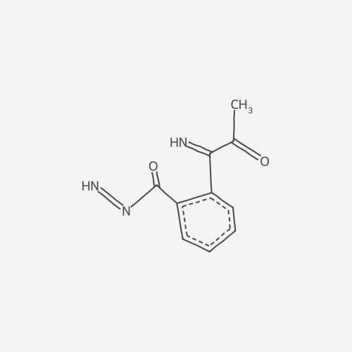 CC(=O)C(=N)c1ccccc1C(=O)N=N